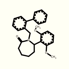 COc1cccc(OC)c1C1CCCCC(=O)N1Cc1ccccc1-c1ccccc1